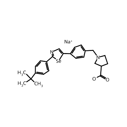 CC(C)(C)c1ccc(-c2ncc(-c3ccc(CN4CCC(C(=O)[O-])C4)cc3)[se]2)cc1.[Na+]